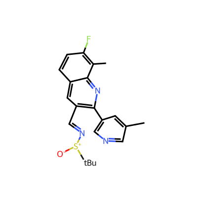 Cc1cncc(-c2nc3c(C)c(F)ccc3cc2/C=N/[S+]([O-])C(C)(C)C)c1